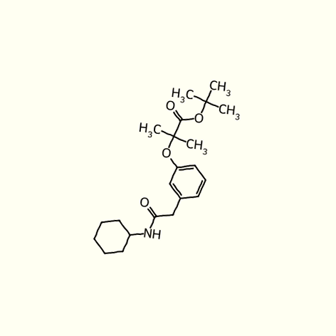 CC(C)(C)OC(=O)C(C)(C)Oc1cccc(CC(=O)NC2CCCCC2)c1